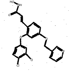 O=C(/C=C/c1ccc(OCc2cccnc2)cc1Oc1ccc(Cl)c(Cl)c1)NO